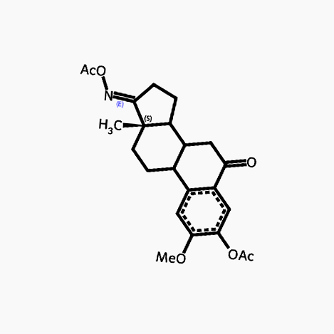 COc1cc2c(cc1OC(C)=O)C(=O)CC1C2CC[C@]2(C)/C(=N/OC(C)=O)CCC12